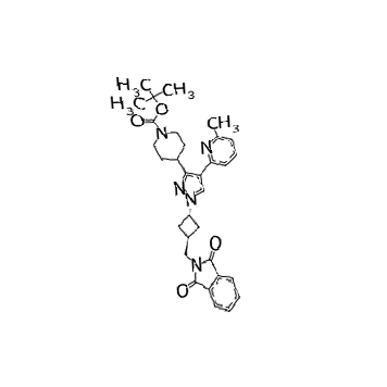 Cc1cccc(-c2cn([C@H]3C[C@H](CN4C(=O)c5ccccc5C4=O)C3)nc2C2CCN(C(=O)OC(C)(C)C)CC2)n1